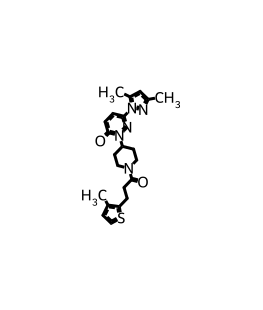 Cc1cc(C)n(-c2ccc(=O)n(C3CCN(C(=O)CCc4sccc4C)CC3)n2)n1